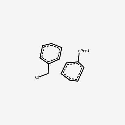 CCCCCc1ccccc1.ClCc1ccccc1